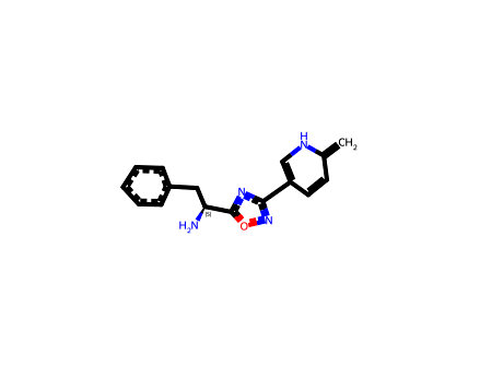 C=C1C=CC(c2noc([C@@H](N)Cc3ccccc3)n2)=CN1